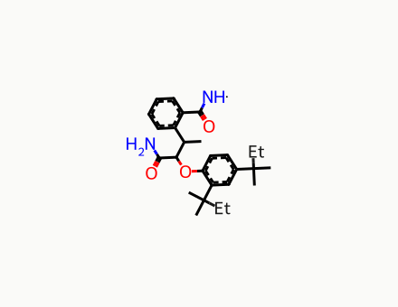 CCC(C)(C)c1ccc(OC(C(N)=O)C(C)c2ccccc2C([NH])=O)c(C(C)(C)CC)c1